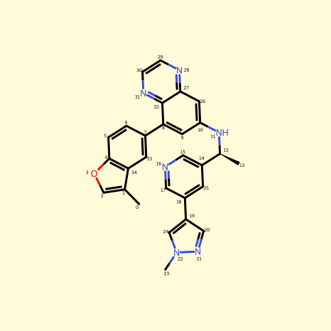 Cc1coc2ccc(-c3cc(N[C@@H](C)c4cncc(-c5cnn(C)c5)c4)cc4nccnc34)cc12